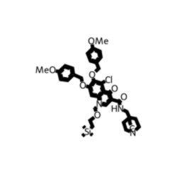 COc1ccc(COc2cc3c(c(Cl)c2OCc2ccc(OC)cc2)c(=O)c(C(=O)NCC24CCN(CC2)CC4)cn3COCC[Si](C)(C)C)cc1